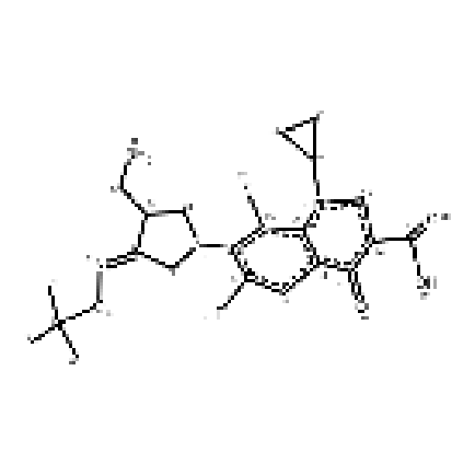 CC(C)(C)O/N=C1\CN(c2c(F)cc3c(=O)c(C(=O)O)cn(C4CC4)c3c2F)CC1CN